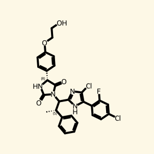 C[C@@H](c1ccccc1)C(c1nc(Cl)c(-c2ccc(Cl)cc2F)[nH]1)N1C(=O)N[C@H](c2ccc(OCCO)cc2)C1=O